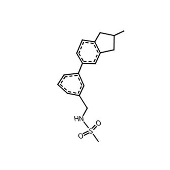 CC1Cc2ccc(-c3cccc(CNS(C)(=O)=O)c3)cc2C1